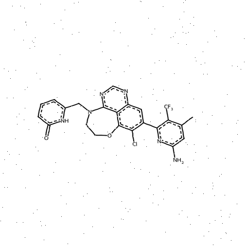 Cc1cc(N)nc(-c2cc3ncnc4c3c(c2Cl)OCCN4Cc2cccc(=O)[nH]2)c1C(F)(F)F